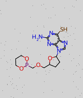 Nc1nc(S)c2ncn(C3CCC(COCP4OCCCO4)O3)c2n1